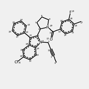 CC#CCn1c(C2CCCN2C(=O)c2ccc(C)c(F)c2)c(-c2ccccc2)c2cc(Cl)ccc21